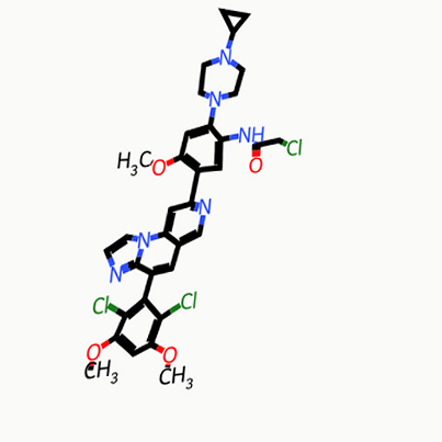 COc1cc(N2CCN(C3CC3)CC2)c(NC(=O)CCl)cc1-c1cc2c(cn1)cc(-c1c(Cl)c(OC)cc(OC)c1Cl)c1nccn12